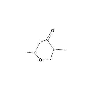 CC1CC(=O)C(C)CO1